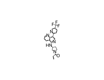 C=CC(=O)N1CCC(Nc2ncc(-c3ccc(C(F)(F)F)cn3)c3ncccc23)C1